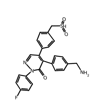 NCc1ccc(-c2c(-c3ccc(C[SH](=O)=O)cc3)cnn(-c3ccc(F)cc3)c2=O)cc1